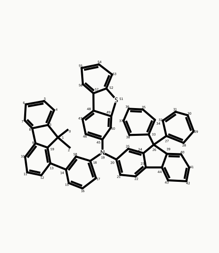 CC1(C)c2ccccc2-c2cccc(-c3cccc(N(c4ccc5c(c4)C(c4ccccc4)(c4ccccc4)c4ccccc4-5)c4ccc5c(c4)sc4ccccc45)c3)c21